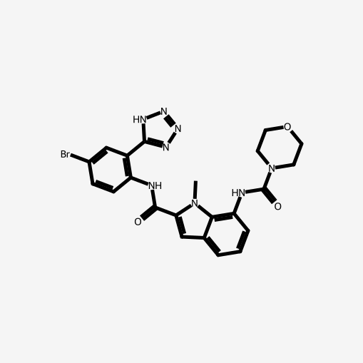 Cn1c(C(=O)Nc2ccc(Br)cc2-c2nnn[nH]2)cc2cccc(NC(=O)N3CCOCC3)c21